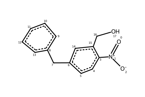 O=[N+]([O-])c1ccc(Cc2ccccc2)cc1CO